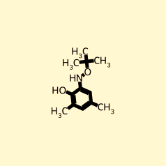 Cc1cc(C)c(O)c(NOC(C)(C)C)c1